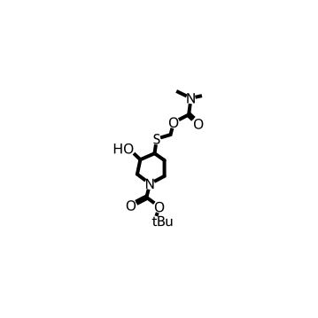 CN(C)C(=O)OCSC1CCN(C(=O)OC(C)(C)C)CC1O